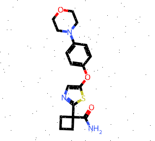 NC(=O)C1(c2ncc(Oc3ccc(N4CCOCC4)cc3)s2)CCC1